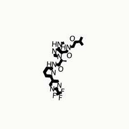 CNc1ncn([C@@H](C)C(=O)Nc2cccc(-c3cnc(C(F)(F)F)nc3)n2)c1C(=O)NCC(=O)C(C)C